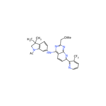 COCc1nc(Nc2ccc3c(c2)N(C(C)=O)CC3(C)C)c2ccc(-c3ncccc3C(F)(F)F)nc2n1